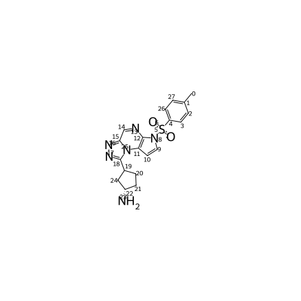 Cc1ccc(S(=O)(=O)n2ccc3c2ncc2nnc(C4CC[C@H](N)C4)n23)cc1